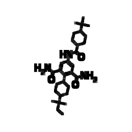 CCC(C)(C)C1CCC(c2c(C(N)=O)cc(NC(=O)C3CCC(C(C)(C)C)CC3)cc2C(N)=O)CC1